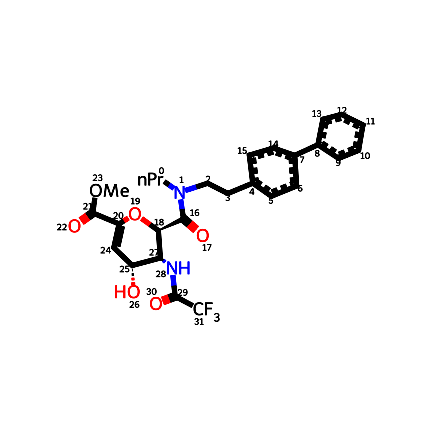 CCCN(CCc1ccc(-c2ccccc2)cc1)C(=O)[C@@H]1OC(C(=O)OC)=C[C@@H](O)[C@H]1NC(=O)C(F)(F)F